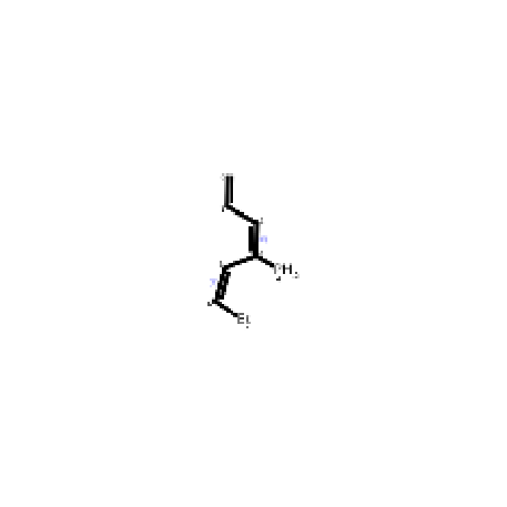 C=C/C=C(P)\C=C/CC